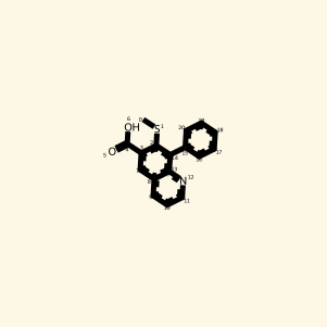 CSc1c(C(=O)O)cc2cccnc2c1-c1ccccc1